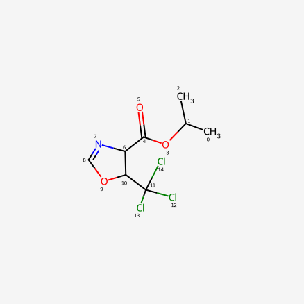 CC(C)OC(=O)C1N=COC1C(Cl)(Cl)Cl